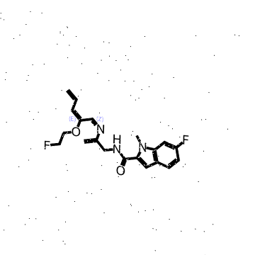 C=C/C=C(\C=N/C(=C)CNC(=O)c1cc2ccc(F)cc2n1C)OCCF